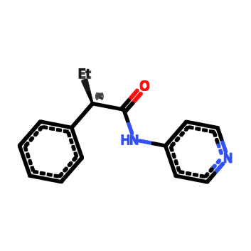 CC[C@@H](C(=O)Nc1ccncc1)c1ccccc1